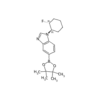 CC1(C)OB(c2ccc3c(c2)ncn3[C@@H]2CCCC[C@H]2F)OC1(C)C